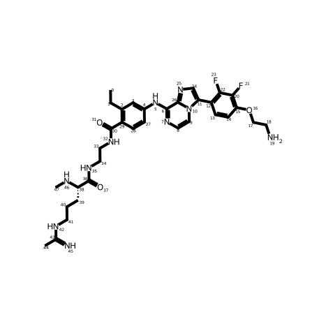 CCc1cc(Nc2nccn3c(-c4ccc(OCCN)c(F)c4F)cnc23)ccc1C(=O)NCCNC(=O)[C@H](CCCNC(C)=N)NC